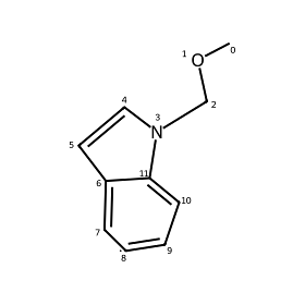 COCn1ccc2c[c]ccc21